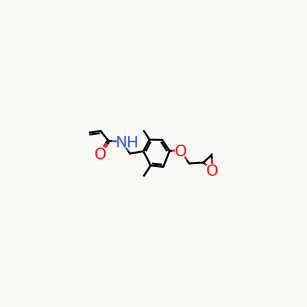 C=CC(=O)NCc1c(C)cc(OCC2CO2)cc1C